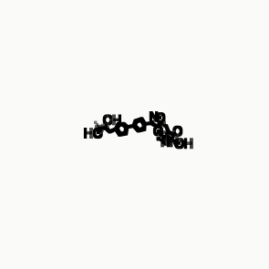 C[C@@H](O)[C@@H](O)Cc1ccc(-c2ccc(C3=NO[C@@H](CC(C(=O)NO)S(C)(=O)=O)C3)cc2)cc1